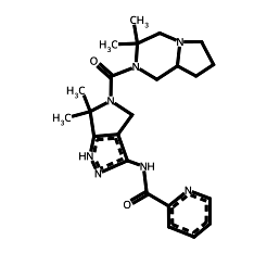 CC1(C)CN2CCCC2CN1C(=O)N1Cc2c(NC(=O)c3ccccn3)n[nH]c2C1(C)C